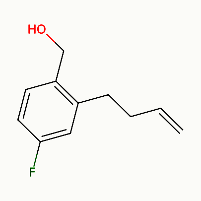 C=CCCc1cc(F)ccc1CO